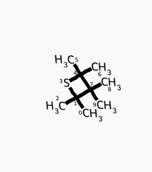 CC1(C)SC(C)(C)C1(C)C